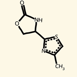 Cc1csc(C2COC(=O)N2)n1